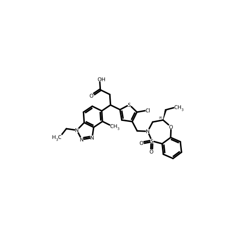 CC[C@@H]1CN(Cc2cc(C(CC(=O)O)c3ccc4c(nnn4CC)c3C)sc2Cl)S(=O)(=O)c2ccccc2O1